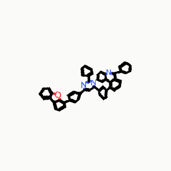 c1ccc(-c2nc(-c3ccc(-c4cccc5c4oc4ccccc45)cc3)cc(-c3cccc(-c4cccc5c(-c6ccccc6)nc6ccccc6c45)c3)n2)cc1